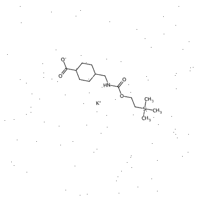 C[Si](C)(C)CCOC(=O)NCC1CCC(C(=O)[O-])CC1.[K+]